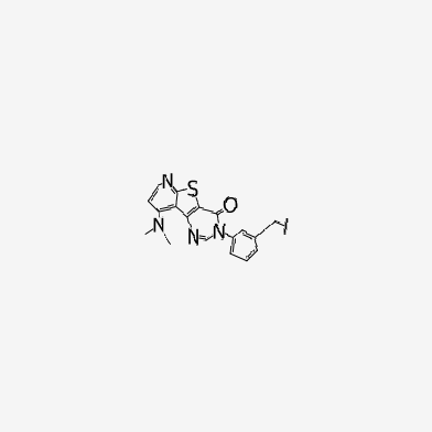 CN(C)c1ccnc2sc3c(=O)n(-c4cccc(CI)c4)cnc3c12